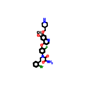 COc1cc2c(Oc3ccc(N(CCc4ccccc4Br)C(=O)C(N)=O)cc3F)ccnc2cc1OCC1CCNCC1